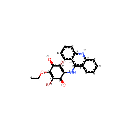 CCOC1=C(Br)C(=O)C(Nc2c3ccccc3nc3ccccc23)=C(Br)C1=O